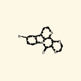 O=c1c2nccnc2c2nccc3c4cc(Br)ccc4n1c32